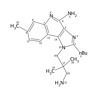 CCCCc1nc2c(N)nc3cc(C)ccc3c2n1CC(C)(C)CN